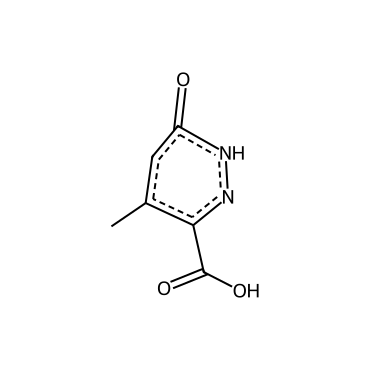 Cc1cc(=O)[nH]nc1C(=O)O